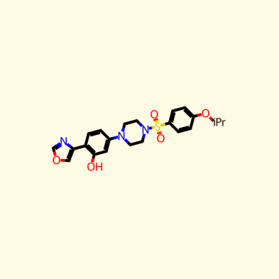 CC(C)Oc1ccc(S(=O)(=O)N2CCN(c3ccc(-c4cocn4)c(O)c3)CC2)cc1